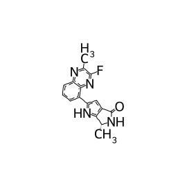 Cc1nc2cccc(-c3cc4c([nH]3)[C@@H](C)NC4=O)c2nc1F